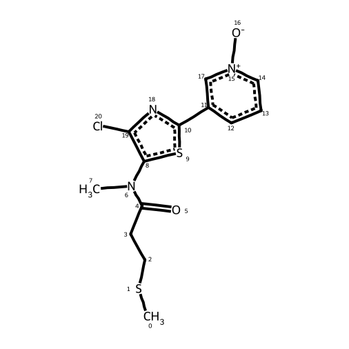 CSCCC(=O)N(C)c1sc(-c2ccc[n+]([O-])c2)nc1Cl